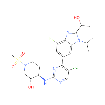 CC(O)c1nc2c(F)cc(-c3nc(N[C@@H]4CCN(S(C)(=O)=O)C[C@H]4O)ncc3Cl)cc2n1C(C)C